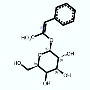 O=C(O)/C(=C/c1ccccc1)O[C@@H]1O[C@H](CO)C(O)[C@H](O)[C@H]1O